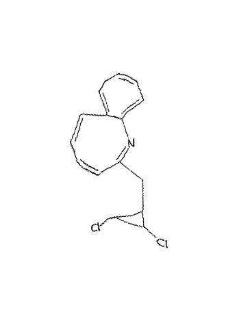 ClC1C(Cl)C1CC1=Nc2ccccc2C=CC=C1